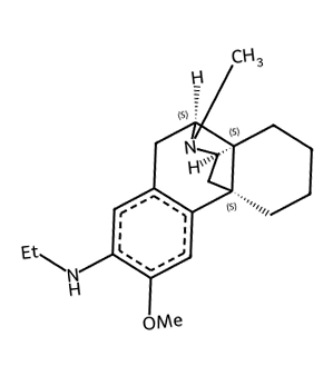 CCNc1cc2c(cc1OC)[C@]13CCCC[C@@H]1[C@H](C2)N(C)CC3